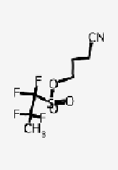 CC(F)(F)C(F)(F)S(=O)(=O)OCCCC#N